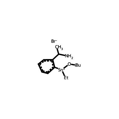 CCC(C)[O][Sn+]([CH2]C)[c]1ccccc1C(C)N.[Br-]